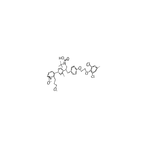 COCCCc1c(-c2ccc(C(Cc3ccc(OCCOc4c(Cl)cc(C)cc4Cl)cc3)CN(C(=O)O)C(C)(C)C)c(C)c2)ccc[n+]1[O-]